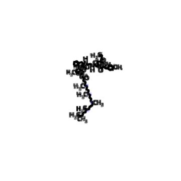 C=CCOC(=O)NC(Cc1ccc(O)cc1)C(=O)NCC(=O)NCC(=O)NC(Cc1ccccc1)C(=O)NC(CC(C)C)C(=O)OCOC(=O)CC/C(C)=C/CC/C(C)=C/CC/C=C(\C)CC/C=C(\C)CCC=C(C)C